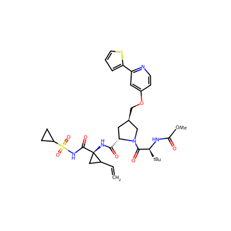 C=CC1C[C@]1(NC(=O)[C@@H]1C[C@@H](COc2ccnc(-c3cccs3)c2)CN1C(=O)[C@@H](NC(=O)OC)C(C)(C)C)C(=O)NS(=O)(=O)C1CC1